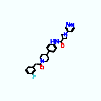 O=C(Nc1ccc(C2CCN(C(=O)Cc3cccc(F)c3)CC2)cc1)C1CN(c2ccnnc2)C1